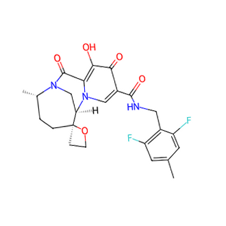 Cc1cc(F)c(CNC(=O)c2cn3c(c(O)c2=O)C(=O)N2C[C@@H]3[C@]3(CCO3)CC[C@@H]2C)c(F)c1